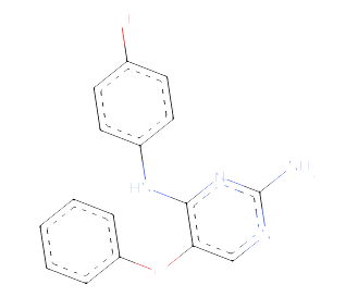 Nc1ncc(Oc2ccccc2)c(Nc2ccc(O)cc2)n1